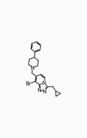 Brc1c(CN2CCC(c3ccccc3)CC2)ccn2c(CC3CC3)nnc12